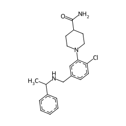 CC(NCc1ccc(Cl)c(N2CCC(C(N)=O)CC2)c1)c1ccccc1